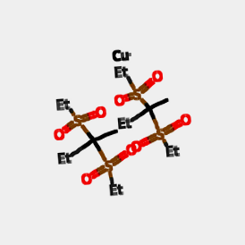 CCC(C)(S(=O)(=O)CC)S(=O)(=O)CC.CCC(C)(S(=O)(=O)CC)S(=O)(=O)CC.[Cu]